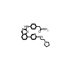 NC(=O)Cc1ccc(Nc2ncc3cccc(-c4ccc(NCCN5CCCC5)nc4)c3n2)cc1